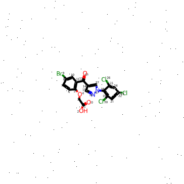 O=C(O)COc1ccc(Br)cc1C(=O)c1cnn(-c2c(Cl)cc(Cl)cc2Cl)c1